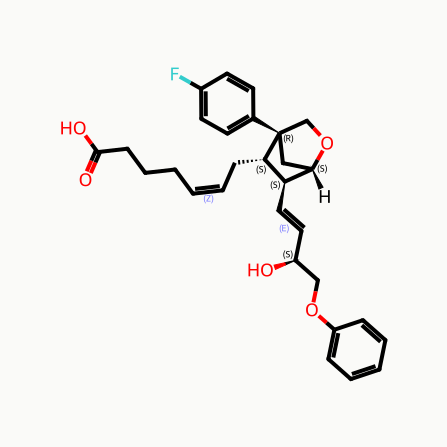 O=C(O)CCC/C=C\C[C@H]1[C@H](/C=C/[C@H](O)COc2ccccc2)[C@@H]2C[C@@]1(c1ccc(F)cc1)CO2